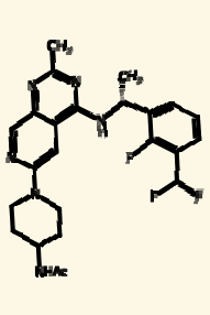 CC(=O)NC1CCN(c2cc3c(N[C@H](C)c4cccc(C(F)F)c4F)nc(C)nc3cn2)CC1